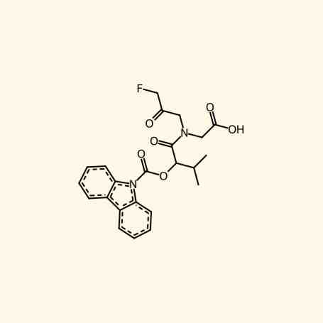 CC(C)C(OC(=O)n1c2ccccc2c2ccccc21)C(=O)N(CC(=O)O)CC(=O)CF